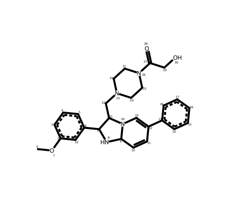 COc1cccc(C2NC3C=CC(c4ccccc4)=CN3C2CN2CCN(C(=O)CO)CC2)c1